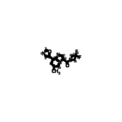 Cc1cc(-c2cnco2)c2ncc(C(=O)N3CC(F)(F)C3)n2c1